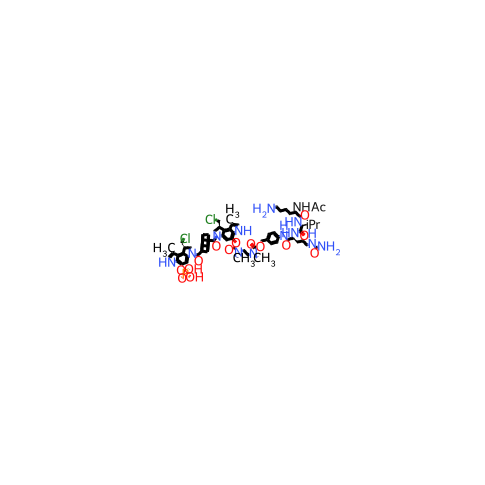 CC(=O)N[C@@H](CCCCN)C(=O)N[C@H](C(=O)N[C@@H](CCCNC(N)=O)C(=O)Nc1ccc(COC(=O)N(C)CCN(C)C(=O)Oc2cc3c(c4c(C)c[nH]c24)[C@H](CCl)CN3C(=O)C23C4C5C2C2C3C4C52C(=O)N2C[C@@H](CCl)c3c2cc(OP(=O)(O)O)c2[nH]cc(C)c32)cc1)C(C)C